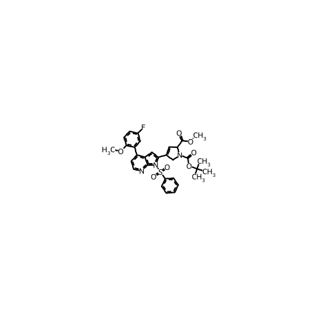 COC(=O)C1C=C(c2cc3c(-c4cc(F)ccc4OC)ccnc3n2S(=O)(=O)c2ccccc2)CN1C(=O)OC(C)(C)C